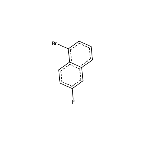 Fc1ccc2c(Br)cccc2c1